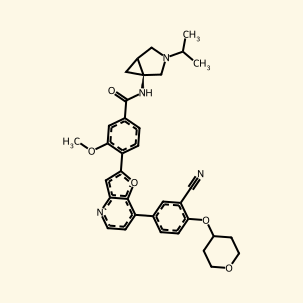 COc1cc(C(=O)N[C@@]23CC2CN(C(C)C)C3)ccc1-c1cc2nccc(-c3ccc(OC4CCOCC4)c(C#N)c3)c2o1